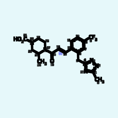 Cc1nnn(Cc2cc(C(F)(F)F)ccc2/C=C/C(=O)N2CCN(C(=O)O)CC2C)n1